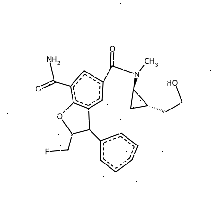 CN(C(=O)c1cc(C(N)=O)c2c(c1)C(c1ccccc1)C(CF)O2)[C@@H]1C[C@H]1CCO